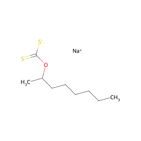 CCCCCCC(C)OC(=S)[S-].[Na+]